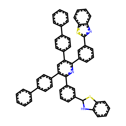 c1ccc(-c2ccc(-c3cc(-c4ccc(-c5ccccc5)cc4)c(-c4cccc(C5Nc6ccccc6S5)c4)nc3-c3cccc(-c4nc5ccccc5s4)c3)cc2)cc1